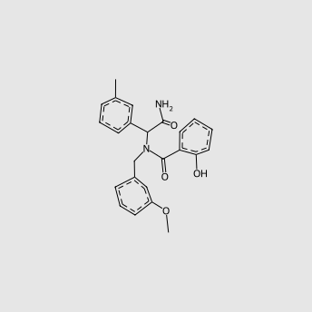 COc1cccc(CN(C(=O)c2ccccc2O)C(C(N)=O)c2cccc(C)c2)c1